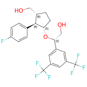 OC[C@@H]1CC[C@H](O[C@H](CO)c2cc(C(F)(F)F)cc(C(F)(F)F)c2)[C@H]1c1ccc(F)cc1